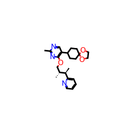 Cc1ncc(C2CCC3(CC2)OCCO3)c(OC[C@@H](C)[C@@H](C)c2ccccn2)n1